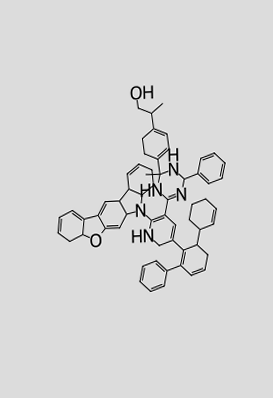 CC(CO)C1=CC=C(C2(C)NC(C3=C(N4C5C=C6OC7CC=CC=C7C6=CC5C5C=CCCC54)NCC(C4=C(c5ccccc5)C=CCC4C4C=CCCC4)=C3)=NC(c3ccccc3)N2)CC1